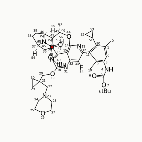 Cc1cc(NC(=O)OC(C)(C)C)c(C)c(-c2nc3c4c(nc(OCC5(CN6CCOCC6)CC5)nc4c2F)N2C[C@H]4CC[C@@H]([C@H]2[C@H](C)O3)N4C(=O)OC(C)(C)C)c1C1CC1